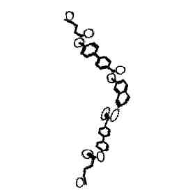 O=C(CCC1CO1)Oc1ccc(-c2ccc(C(=O)Oc3ccc4ccc(OC(=O)c5ccc(-c6ccc(OC(=O)CCC7CO7)cc6)cc5)cc4c3)cc2)cc1